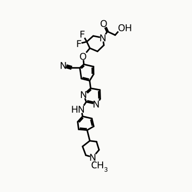 CN1CCC(c2ccc(Nc3nccc(-c4ccc(OC5CCN(C(=O)CO)CC5(F)F)c(C#N)c4)n3)cc2)CC1